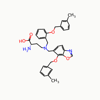 Cc1cccc(COc2ccccc2CN(CC[C@H](N)C(=O)O)Cc2ccc3ncoc3c2OCc2cccc(C)c2)c1